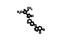 CCn1nc(C)cc1-c1c[nH]c([C@H]2COc3ccc(Oc4ccnc5c4CCC(=O)N5)cc3C2)n1